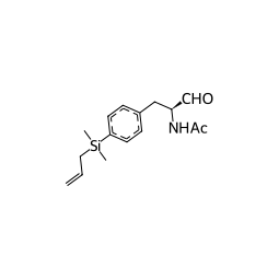 C=CC[Si](C)(C)c1ccc(C[C@@H](C=O)NC(C)=O)cc1